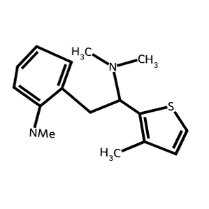 CNc1ccccc1CC(c1sccc1C)N(C)C